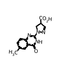 Cc1ccc2nc(N3CC(C(=O)O)C=N3)[nH]c(=O)c2c1